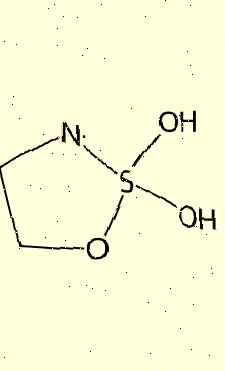 OS1(O)[N]CCO1